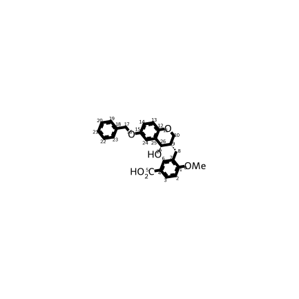 COc1ccc(C(=O)O)cc1C[C@H]1COc2ccc(OCc3ccccc3)cc2[C@H]1O